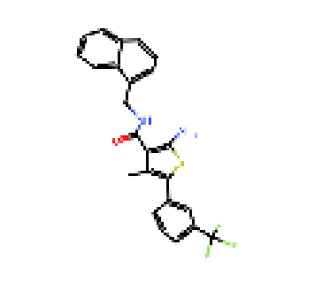 Cc1c(-c2cccc(C(F)(F)F)c2)sc(N)c1C(=O)NCc1cccc2ccccc12